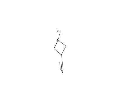 [2H]N1CC(C#N)C1